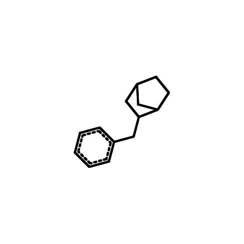 c1ccc(CC2CC3CCC2C3)cc1